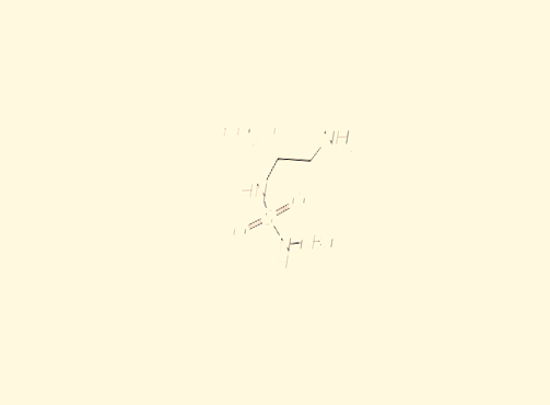 CCCCNS(=O)(=O)N[C@@H](CN)C(=O)OCC